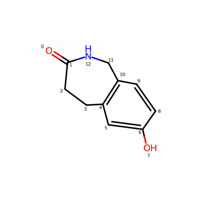 O=C1CCc2cc(O)ccc2CN1